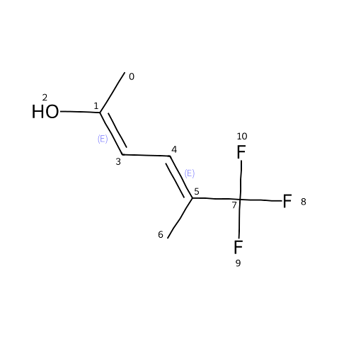 C/C(O)=C\C=C(/C)C(F)(F)F